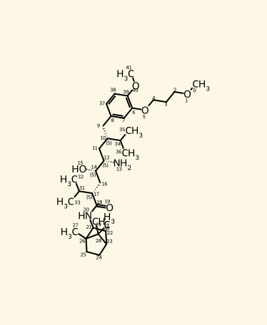 COCCCOc1cc(C[C@@H](C[C@H](N)[C@@H](O)C[C@H](C(=O)NC2CC3CCC2(C)C3(C)C)C(C)C)C(C)C)ccc1OC